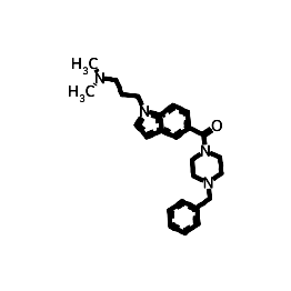 CN(C)CCCn1ccc2cc(C(=O)N3CCN(Cc4ccccc4)CC3)ccc21